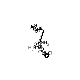 C[C@]1(C(=O)NS(=O)(=O)C2CC2)C[C@H]1/C=C\CCCCC[C@H](N)C(=O)N1C[C@H](OC(=O)N2Cc3cccc(Cl)c3C2)C[C@H]1C(N)=O